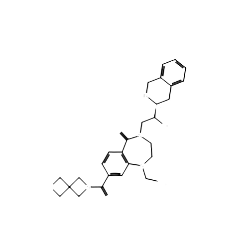 CCN1CCN(CC(O)[C@@H]2Cc3ccccc3CN2)C(=O)c2ccc(C(=O)N3CC4(COC4)C3)cc21